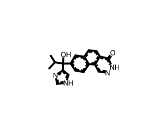 CC(C)C(O)(c1ccc2c(ccc3c(=O)[nH]ncc32)c1)c1c[nH]cn1